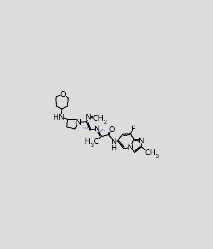 C=N/C(=C\N=C(/C)C(=O)Nc1cc(F)c2nc(C)cn2c1)N1CCC(NC2CCOCC2)C1